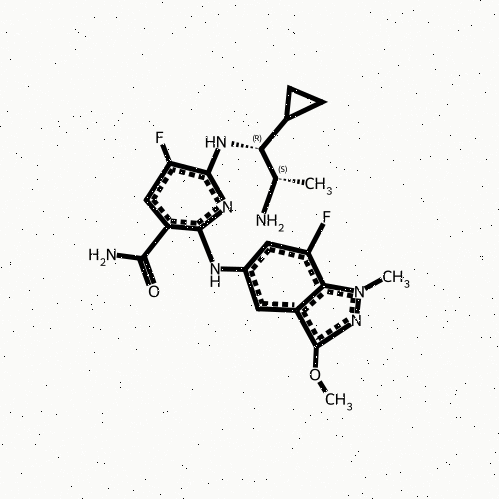 COc1nn(C)c2c(F)cc(Nc3nc(N[C@H](C4CC4)[C@H](C)N)c(F)cc3C(N)=O)cc12